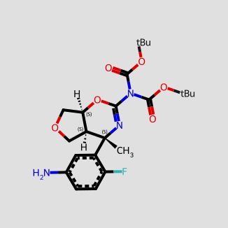 CC(C)(C)OC(=O)N(C(=O)OC(C)(C)C)C1=N[C@](C)(c2cc(N)ccc2F)[C@H]2COC[C@H]2O1